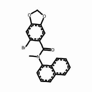 CN(C(=O)c1cc2c(cc1Br)OCO2)c1cccc2ccccc12